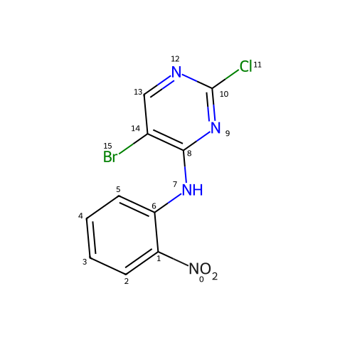 O=[N+]([O-])c1ccccc1Nc1nc(Cl)ncc1Br